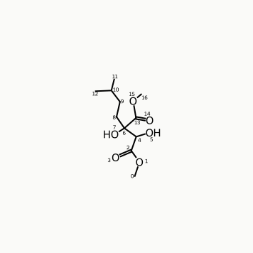 COC(=O)C(O)C(O)(CCC(C)C)C(=O)OC